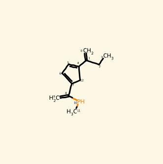 C=C(CC)C1=CC=C(C(=C)PC)C1